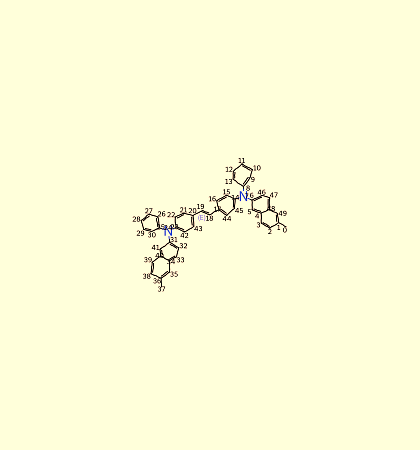 Cc1ccc2cc(N(c3ccccc3)c3ccc(/C=C/c4ccc(N(c5ccccc5)c5ccc6cc(C)ccc6c5)cc4)cc3)ccc2c1